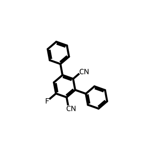 N#Cc1c(F)cc(-c2ccccc2)c(C#N)c1-c1ccccc1